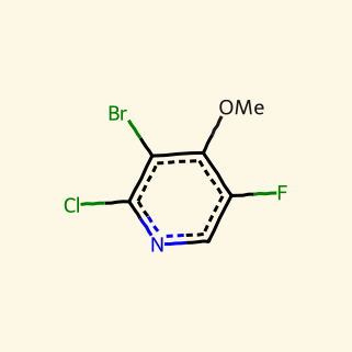 COc1c(F)cnc(Cl)c1Br